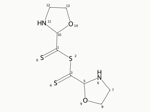 S=C(SC(=S)C1NCCO1)C1NCCO1